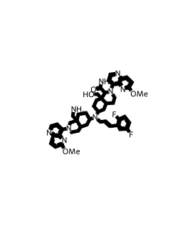 COc1ccc2nccc(N3CCC4CC(N(CC=Cc5cc(F)ccc5F)C5CCC6(CO)C(CCN(c7ccnc8ccc(OC)nc78)C6C(N)=O)C5)CCC4(CN)C3)c2n1